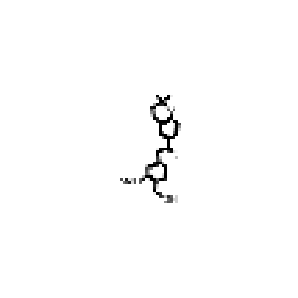 COc1cc(CC(=O)c2ccc3c(c2)CCC(C)(C)O3)ccc1CO